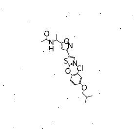 CC(=O)NC(C)c1cc(-c2cnc(Oc3ccc(OCC(C)C)cc3Cl)s2)no1